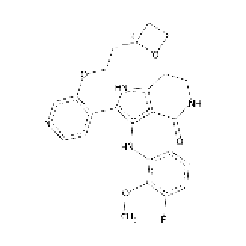 COc1c(F)cccc1Nc1c(-c2ccncc2OCC[C@@H]2CCO2)[nH]c2c1C(=O)NCC2